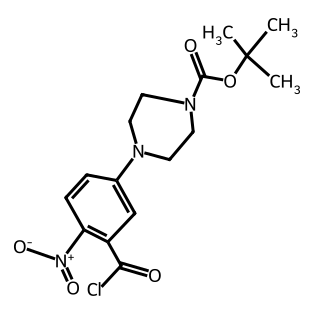 CC(C)(C)OC(=O)N1CCN(c2ccc([N+](=O)[O-])c(C(=O)Cl)c2)CC1